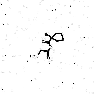 O=C(OC(CS(=O)(=O)O)C(F)(F)F)C1(Br)CCCC1